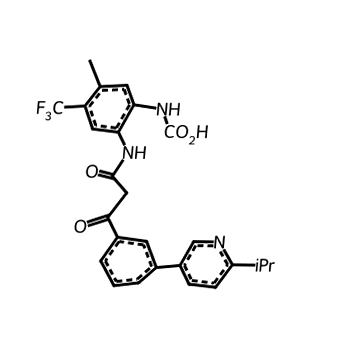 Cc1cc(NC(=O)O)c(NC(=O)CC(=O)c2cccc(-c3ccc(C(C)C)nc3)c2)cc1C(F)(F)F